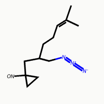 CC(C)=CCCC(CN=[N+]=[N-])CC1(N=O)CC1